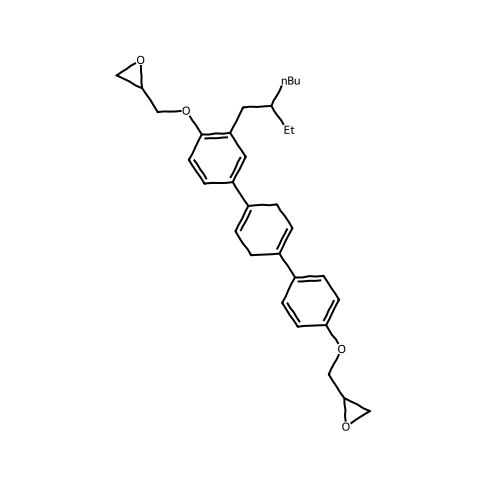 CCCCC(CC)Cc1cc(C2=CCC(c3ccc(OCC4CO4)cc3)=CC2)ccc1OCC1CO1